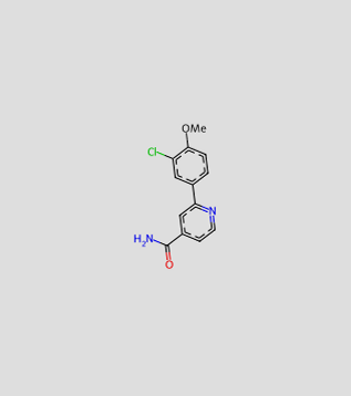 COc1ccc(-c2cc(C(N)=O)ccn2)cc1Cl